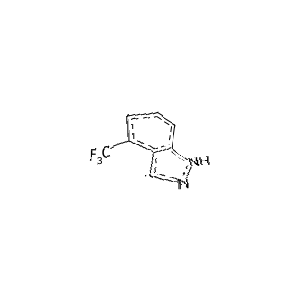 FC(F)(F)c1cccc2[nH]n[c]c12